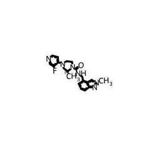 C[C@@H]1CN(c2ccncc2F)CCN1C(=O)NCc1cccc2nn(C)cc12